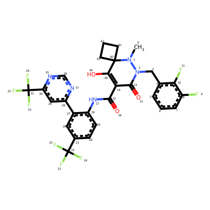 CN1N(Cc2cccc(F)c2F)C(=O)C(C(=O)Nc2ccc(C(F)(F)F)cc2-c2cc(C(F)(F)F)ncn2)=C(O)C12CCC2